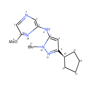 COc1cncc(Nc2cc([C@H]3C[CH]CC3)nn2C(C)(C)C)n1